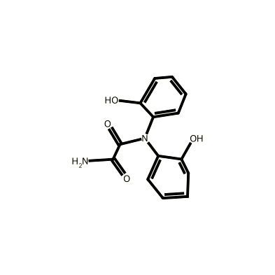 NC(=O)C(=O)N(c1ccccc1O)c1ccccc1O